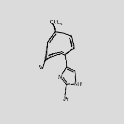 Cc1ccc(-c2c[nH]c(C(C)C)n2)c(Br)c1